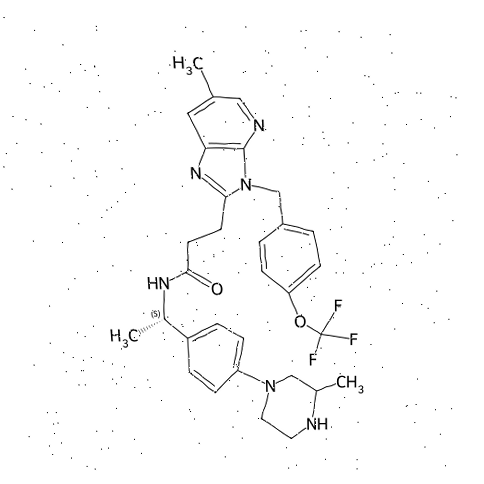 Cc1cnc2c(c1)nc(CCC(=O)N[C@@H](C)c1ccc(N3CCNC(C)C3)cc1)n2Cc1ccc(OC(F)(F)F)cc1